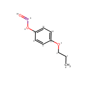 CCCOc1ccc(OP=O)cc1